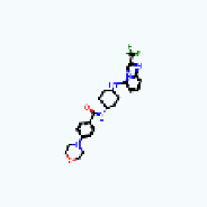 O=C(N[C@H]1CC[C@@H](Nc2cccc3nc(C(F)(F)F)cn23)CC1)c1ccc(N2CCOCC2)cc1